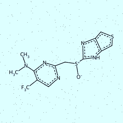 CN(C)c1nc(C[S+]([O-])c2nc3cscc3[nH]2)ncc1C(F)(F)F